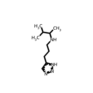 CC(C)C(C)NCCCc1cnn[nH]1